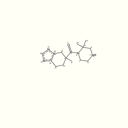 CC1(C(=O)N2CCNCC2(C)C)CCc2ncnn2C1